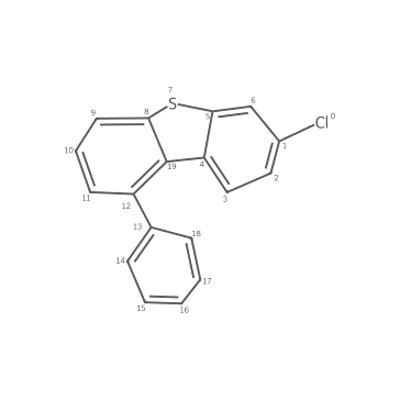 Clc1ccc2c(c1)sc1cccc(-c3ccccc3)c12